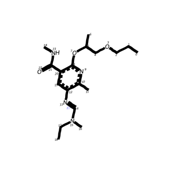 CCCOCC(C)Oc1nc(C)c(/N=C/N(C)CC)cc1C(=O)NC